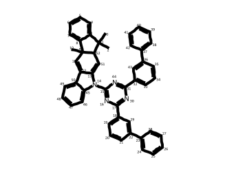 CC1(C)c2ccccc2C2(C)C=c3c(n(-c4nc(-c5cccc(-c6ccccc6)c5)nc(-c5cccc(-c6ccccc6)c5)n4)c4ccccc34)=CC12